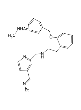 CCN=Cc1ccnc(CNCCc2ccccc2OCc2ccccc2)c1.CNC(C)=O